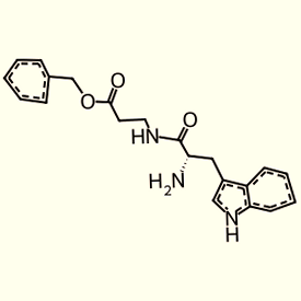 N[C@@H](Cc1c[nH]c2ccccc12)C(=O)NCCC(=O)OCc1ccccc1